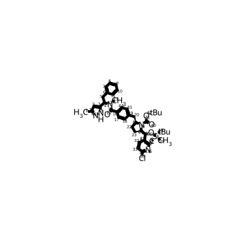 Cc1cc(C(Cc2ccccc2)N(C)C(=O)c2ccc(C[C@@H]3CC[C@H]([C@H](O[Si](C)(C)C(C)(C)C)c4ccc(Cl)nc4)N3C(=O)OC(C)(C)C)cc2)[nH]n1